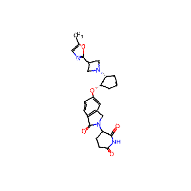 Cc1cnc(C2CN([C@@H]3CCC[C@@H]3Oc3ccc4c(c3)CN(C3CCC(=O)NC3=O)C4=O)C2)o1